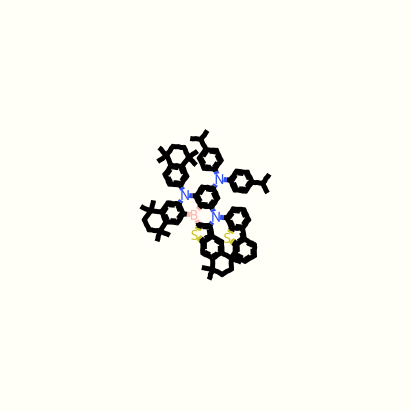 CC(C)c1ccc(N(c2ccc(C(C)C)cc2)c2cc3c4c(c2)N(c2cccc5c2sc2ccccc25)c2c(sc5cc6c(cc25)C(C)(C)CCC6(C)C)B4c2cc4c(cc2N3c2ccc3c(c2)C(C)(C)CCC3(C)C)C(C)(C)CCC4(C)C)cc1